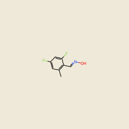 Cc1cc(F)cc(F)c1/C=N/O